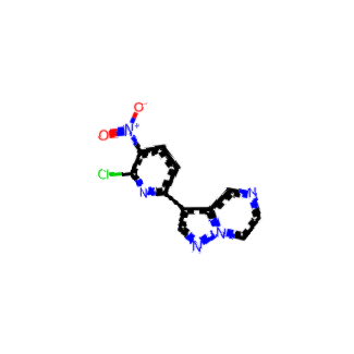 O=[N+]([O-])c1ccc(-c2cnn3ccncc23)nc1Cl